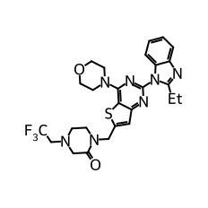 CCc1nc2ccccc2n1-c1nc(N2CCOCC2)c2sc(CN3CCN(CC(F)(F)F)CC3=O)cc2n1